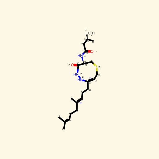 CC(C)=CCC/C(C)=C/CC/C1=C/CSC[C@H](NC(=O)C[C@H](C)C(=O)O)C(=O)NN1